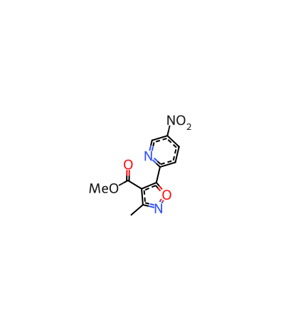 COC(=O)c1c(C)noc1-c1ccc([N+](=O)[O-])cn1